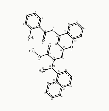 Cc1ccccc1C(=O)OC1=C[C@H](CN(C(=O)OC(C)(C)C)[C@H](C)c2cccc3ccccc23)Oc2ccccc21